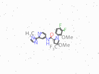 COc1c(N2C[C@@](OC)(C(F)(F)F)C[C@H]2C(=O)Nc2ccnc(-c3nccn3C)c2)ccc(F)c1F